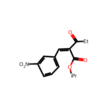 CCC(=O)C(=Cc1cccc([N+](=O)[O-])c1)C(=O)OC(C)C